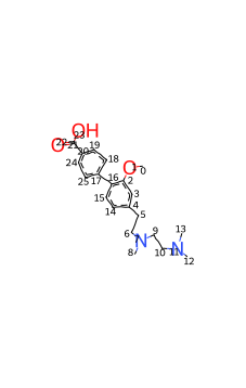 COc1cc(CCN(C)CCN(C)C)ccc1-c1ccc(C(=O)O)cc1